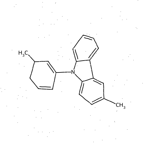 Cc1ccc2c(c1)c1ccccc1n2C1=CC(C)CC=C1